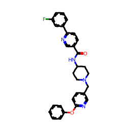 O=C(NC1CCN(Cc2ccc(Oc3ccccc3)nc2)CC1)c1ccc(-c2cccc(F)c2)nc1